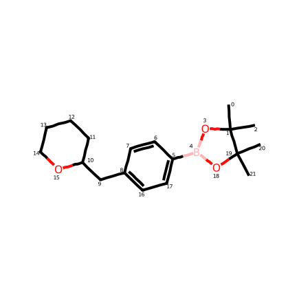 CC1(C)OB(c2ccc(CC3CCCCO3)cc2)OC1(C)C